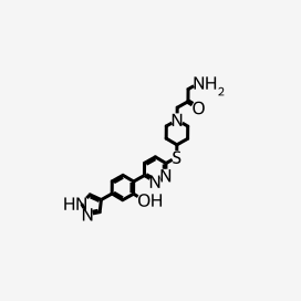 NCC(=O)CN1CCC(Sc2ccc(-c3ccc(-c4cn[nH]c4)cc3O)nn2)CC1